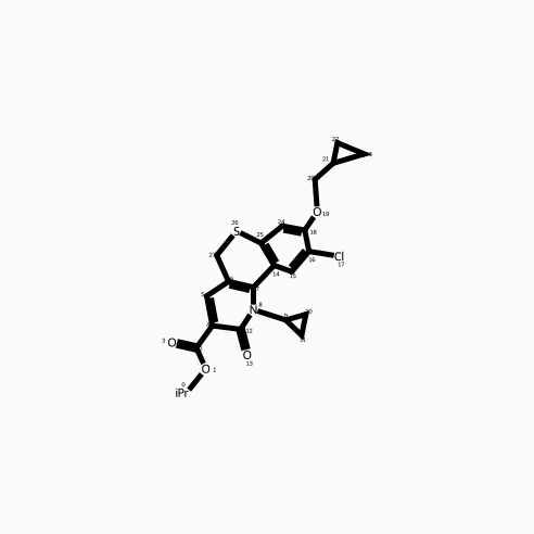 CC(C)OC(=O)c1cc2c(n(C3CC3)c1=O)-c1cc(Cl)c(OCC3CC3)cc1SC2